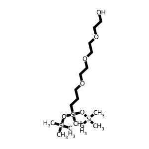 C[Si](C)(C)O[Si](C)(CCCOCCOCCOCCO)O[Si](C)(C)C